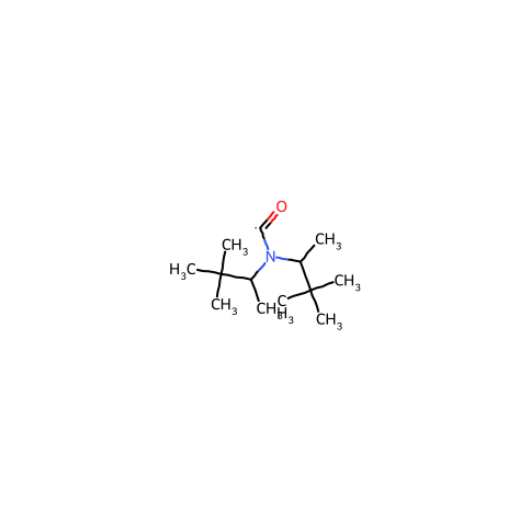 CC(N([C]=O)C(C)C(C)(C)C)C(C)(C)C